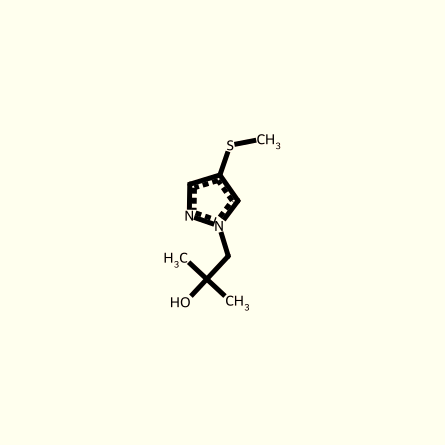 CSc1cnn(CC(C)(C)O)c1